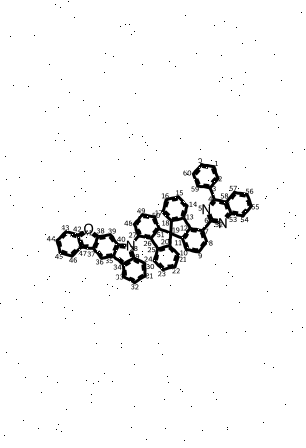 c1ccc(-c2nc(-c3cccc4c3-c3ccccc3C43c4ccccc4-c4c(-n5c6ccccc6c6cc7c(cc65)oc5ccccc57)cccc43)nc3ccccc23)cc1